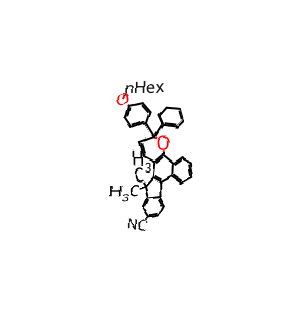 CCCCCCOc1ccc(C2(C3=CC=CCC3)C=Cc3c4c(c5ccccc5c3O2)-c2ccc(C#N)cc2C4(C)C)cc1